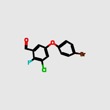 O=Cc1cc(Oc2ccc(Br)cc2)cc(Cl)c1F